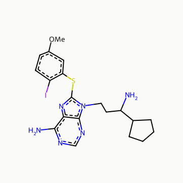 COc1ccc(I)c(Sc2nc3c(N)ncnc3n2CCC(N)C2CCCC2)c1